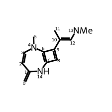 C=C1C=CN(C)C2=C(C=C2/C(C)=C/NC)N1